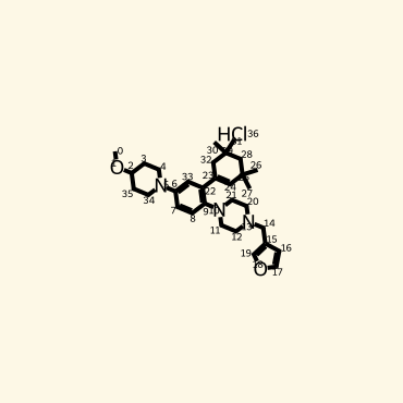 COC1CCN(c2ccc(N3CCN(Cc4ccoc4)CC3)c(C3=CC(C)(C)CC(C)(C)C3)c2)CC1.Cl